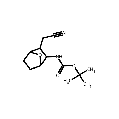 CC(C)(C)OC(=O)NC1C2CCC(O2)C1CC#N